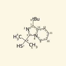 CC(C)(C)c1nc(C(C)(C)S)n2ccccc12